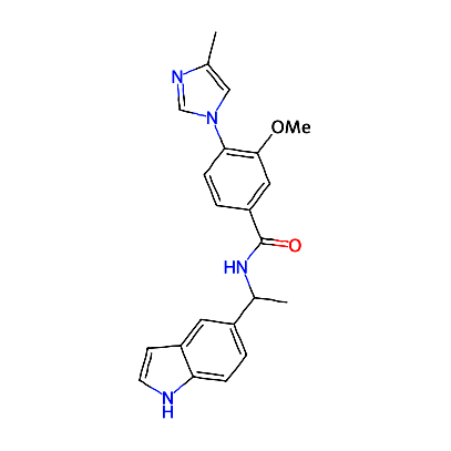 COc1cc(C(=O)NC(C)c2ccc3[nH]ccc3c2)ccc1-n1cnc(C)c1